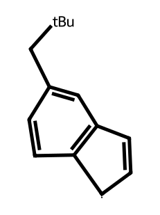 CC(C)(C)Cc1ccc2c(c1)C=C[CH]2